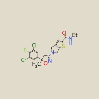 CCNC(=O)c1cc2c(s1)CN(C1=NOC(c3cc(Cl)c(F)c(Cl)c3)(C(F)(F)F)C1)C2